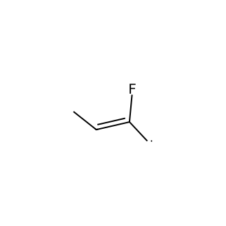 [CH2]/C(F)=C/C